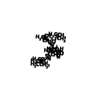 CC(C)(C)OC(=O)N1[C@@H]2CC[C@H]1C[C@@H](c1nc3c(-c4cnc(CO[Si](C)(C)C(C)(C)C)s4)cnn3c(N(COCC[Si](C)(C)C)COCC[Si](C)(C)C)c1I)C2